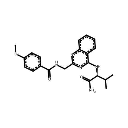 COc1ccc(C(=O)NCc2nc(N[C@H](C(N)=O)C(C)C)c3ccccc3n2)cc1